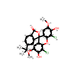 COc1cc2c(c(Cl)c1O)Oc1c(cc(OC)c(O)c1Cl)C21OC(=O)c2ccc(C(C)(C)C)cc21